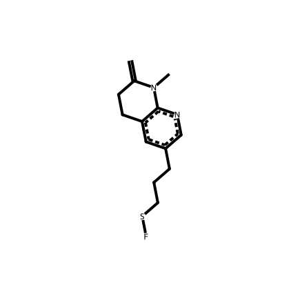 C=C1CCc2cc(CCCSF)cnc2N1C